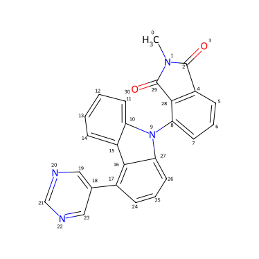 CN1C(=O)c2cccc(-n3c4ccccc4c4c(-c5cncnc5)cccc43)c2C1=O